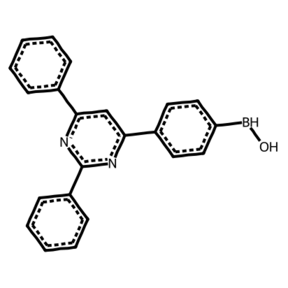 OBc1ccc(-c2cc(-c3ccccc3)nc(-c3ccccc3)n2)cc1